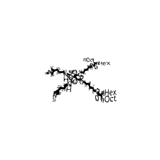 CCCCCCCCC(CCCCCC)C(=O)OCCCCCCOC(=O)C(OC(=S)NCCCC1CN(C)C1)C(OC(=S)NCCCC1CN(C)C1)C(=O)OCCCCCCOC(=O)C(CCCCCC)CCCCCCCC